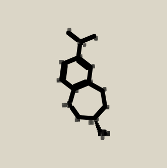 CCCC[C@H]1CCc2cc(N(C)C)ccc2SC1